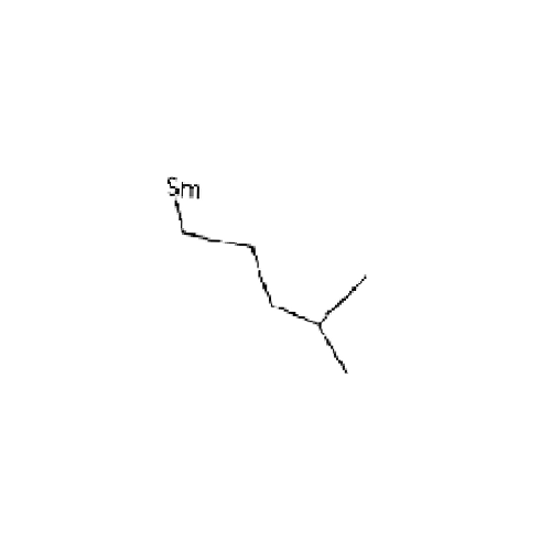 CC(C)CC[CH2][Sm]